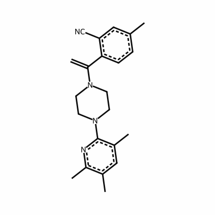 C=C(c1ccc(C)cc1C#N)N1CCN(c2nc(C)c(C)cc2C)CC1